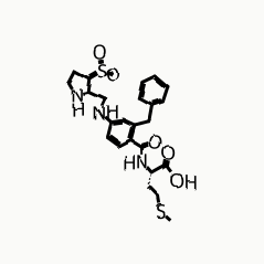 CSCC[C@H](NC(=O)c1ccc(NCC2NCCC2=S(=O)=O)cc1Cc1ccccc1)C(=O)O